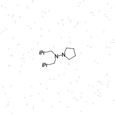 CC(C)CN(CC(C)C)N1CCCC1